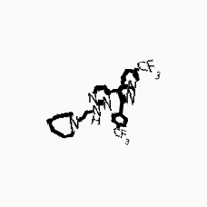 FC(F)(F)c1ccc(-c2nn3cc(C(F)(F)F)ccc3c2-c2ccnc(NCCN3CCCCCC3)n2)cc1